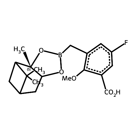 COc1c(CB2OC3CC4CC(C4(C)C)[C@]3(C)O2)cc(F)cc1C(=O)O